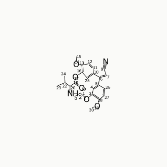 CCOc1cc(C(=CC#N)c2ccc(OC)c(OC(=O)C(N)C(C)C)c2)ccc1OC